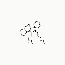 CCCCN(CCCC)C1(c2ncc3ccccc3n2)C=CC=CC1